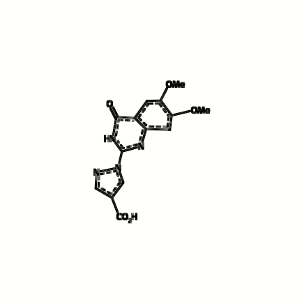 COc1cc2nc(-n3cc(C(=O)O)cn3)[nH]c(=O)c2cc1OC